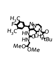 COC(CNC(=O)Nc1c(-c2cc(C)c(F)c(C)c2)nn2c1C(C)N(C(=O)OC(C)(C)C)CC2)OC